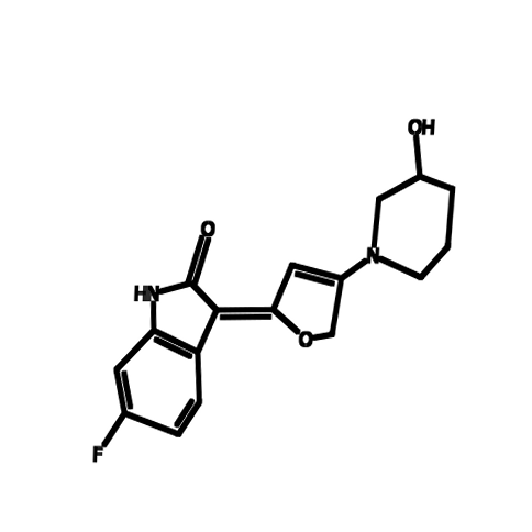 O=C1Nc2cc(F)ccc2C1=C1C=C(N2CCCC(O)C2)CO1